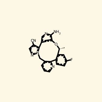 C[C@H]1Oc2cc(cnc2N)-c2c(C#N)cnn2Cc2cccnc2-c2ccc(F)cc21